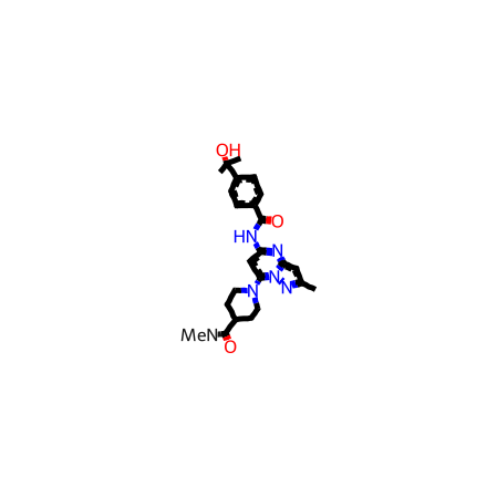 CNC(=O)C1CCN(c2cc(NC(=O)c3ccc(C(C)(C)O)cc3)nc3cc(C)nn23)CC1